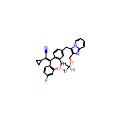 [2H]C([2H])([2H])OCc1nc2ccccn2c1Cc1ccc2c(c1)COc1cc(F)ccc1/C2=C(/C#N)C1CC1